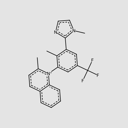 Cc1c(-c2nccn2C)cc(C(F)(F)F)cc1-[n+]1c(C)ccc2ccccc21